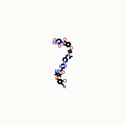 CC(C)N(CC1CCN(c2cnc(C(=O)NC3C(C)(C)C(Oc4ccc(C#N)c(Cl)c4)C3(C)C)cn2)CC1)C1CC(Oc2ccc3c(c2)CN([C@@H]2CCC(=O)NC2=O)C3=O)C1